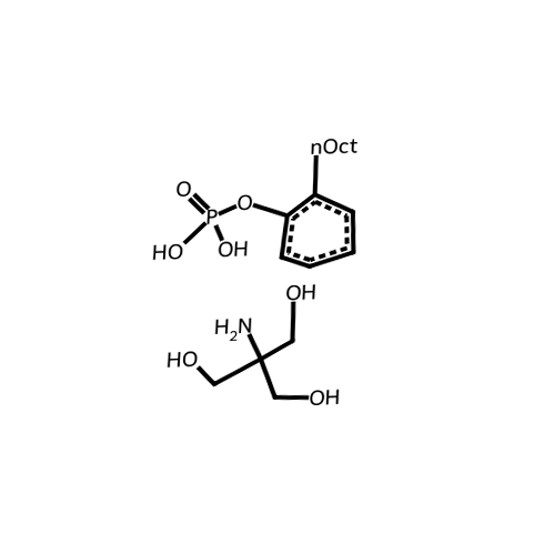 CCCCCCCCc1ccccc1OP(=O)(O)O.NC(CO)(CO)CO